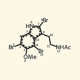 COc1c(Br)cc2[nH]c(Br)c(CCNC(C)=O)c2c1Br